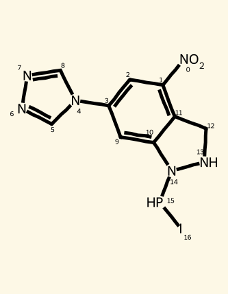 O=[N+]([O-])c1cc(-n2cnnc2)cc2c1CNN2PI